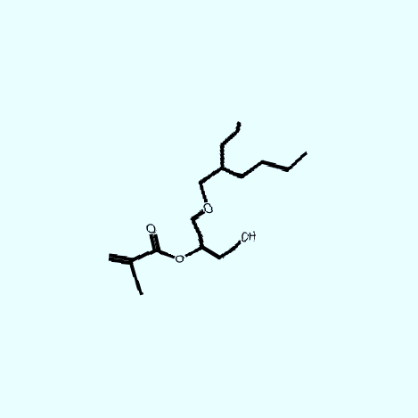 C=C(C)C(=O)OC(CO)COCC(CC)CCCC